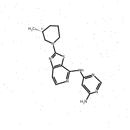 C[C@@H]1CCCN(c2nc3ccnc(Nc4cc(N)ncn4)c3s2)C1